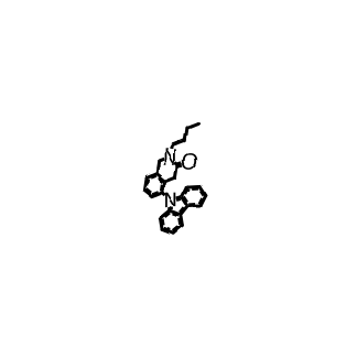 CCCCN1Cc2cccc(-n3c4ccccc4c4ccccc43)c2CC1=O